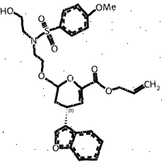 C=CCOC(=O)C1=C[C@H](c2coc3ccccc23)CC(OCCN(CCO)S(=O)(=O)c2ccc(OC)cc2)O1